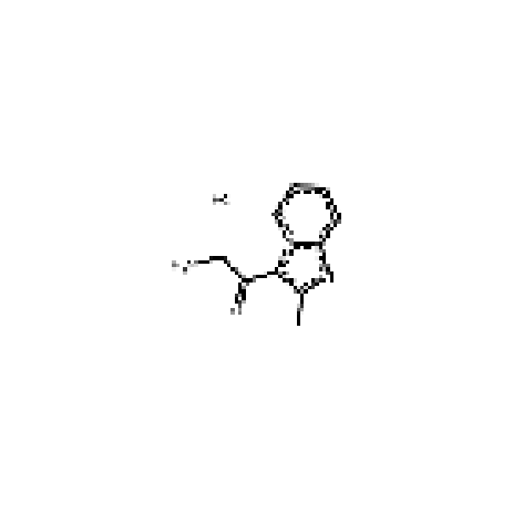 Cc1nc2ccccn2c1C(=O)CN.Cl